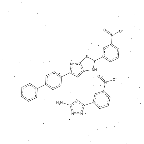 Nc1nnc(-c2cccc([N+](=O)[O-])c2)s1.O=[N+]([O-])c1cccc(C2Nn3cc(-c4ccc(-c5ccccc5)cc4)nc3S2)c1